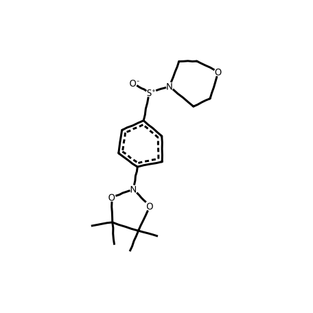 CC1(C)ON(c2ccc([S+]([O-])N3CCOCC3)cc2)OC1(C)C